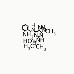 CC(C)[C@H](CO)Nc1nc(NCc2ccccc2N)c2nnn(C)c2n1